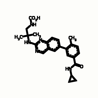 Cc1ccc(C(=O)NC2CC2)cc1-c1ccc2nc(NC(C)(C)CNC(=O)O)ncc2c1